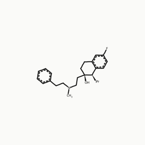 CC(C)[C@@H]1c2ccc(F)cc2CC[C@@]1(O)CCN(C)CCc1ccccc1